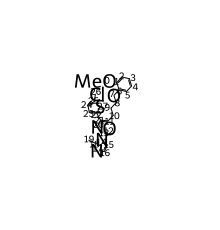 COc1ccccc1OCCCc1oc(-n2ccnc2C)nc1-c1ccc(Cl)s1